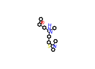 C1=C(c2ccc(-c3cccc4c3oc3ccccc34)cc2)NC(c2ccccc2)N=C1c1ccc(-c2ccc3sc4c5ccccc5nc(-c5ccccc5)c4c3c2)cc1